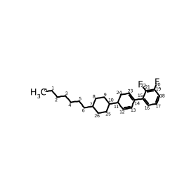 CCCCCCCC1CCC(C2C=CC(c3cccc(F)c3F)=CC2)CC1